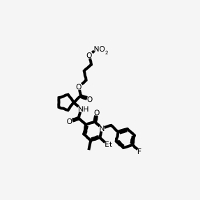 CCc1c(C)cc(C(=O)NC2(C(=O)OCCCO[N+](=O)[O-])CCCC2)c(=O)n1Cc1ccc(F)cc1